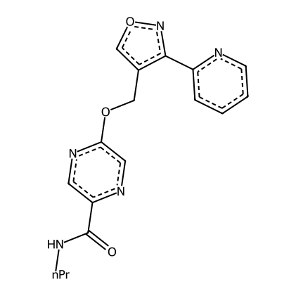 CCCNC(=O)c1cnc(OCc2conc2-c2ccccn2)cn1